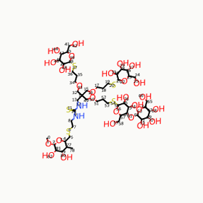 CO[C@H]1OC(CSCCNC(=S)NCC(COCCCS[C@H]2OC(CO)[C@@H](O)[C@H](O)C2O)(COCCCS[C@H]2OC(CO)[C@@H](O)[C@H](O)C2O)COCCCS[C@@H]2OC(CO)[C@@H](O[C@@H]3OC(CO)[C@H](O)[C@H](O)C3O)[C@H](O)C2O)C(C)[C@H](O)C1O